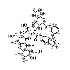 CC(=O)NC1C(OC2C(C(=O)Nc3ccc(NS(C)(=O)=O)c(Oc4ccccc4)c3)OC(OC3C(O)C(CO)OC(O)C3NC(C)O)C(O)C2O)OC(CO)C(O)C1OC1OC(C(=O)O)C(O)C(O)C1O